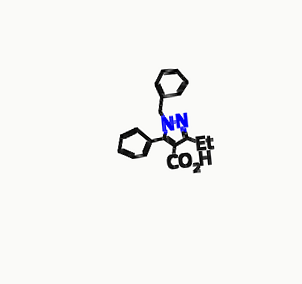 CCc1nn(Cc2ccccc2)c(-c2ccccc2)c1C(=O)O